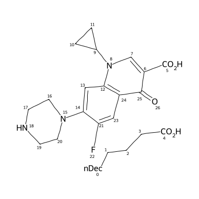 CCCCCCCCCCCCCC(=O)O.O=C(O)c1cn(C2CC2)c2cc(N3CCNCC3)c(F)cc2c1=O